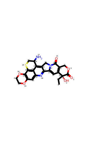 CC[C@@]1(O)C(=O)OCc2c1cc1n(c2=O)Cc2c-1nc1cc3c(c4c1c2C(N)CS4)OCCO3